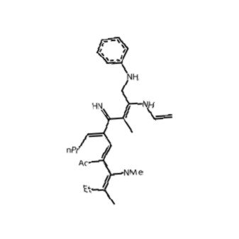 C=CN/C(CNc1ccccc1)=C(\C)C(=N)C(/C=C(C(C)=O)/C(NC)=C(/C)CC)=C/CCC